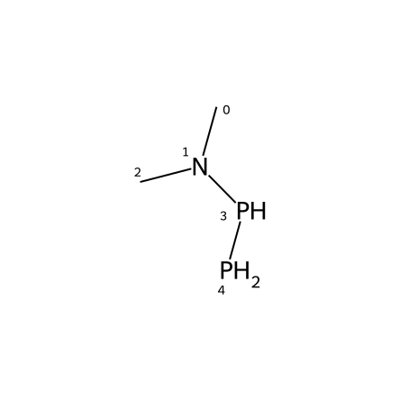 CN(C)PP